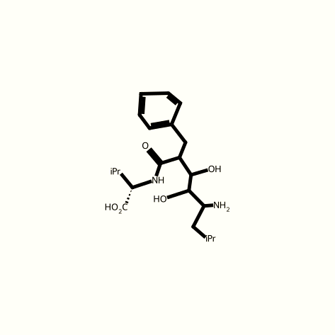 CC(C)CC(N)C(O)C(O)C(Cc1ccccc1)C(=O)N[C@H](C(=O)O)C(C)C